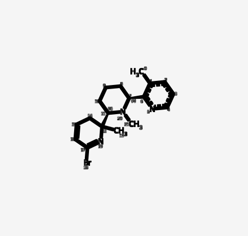 Cc1cccnc1[C@@H]1CCC[C@H](C2(C)CC=CC(Br)=N2)N1C